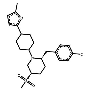 Cc1cnc(C2CCC(N3C[C@H](S(C)(=O)=O)CC[C@@H]3Cc3ccc(Cl)cc3)CC2)o1